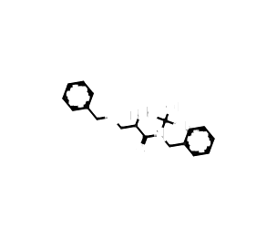 CC(O)(N(Cc1ccccc1)C(=O)C(Cl)COCc1ccccc1)C(F)(F)F